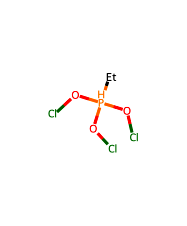 CC[PH](OCl)(OCl)OCl